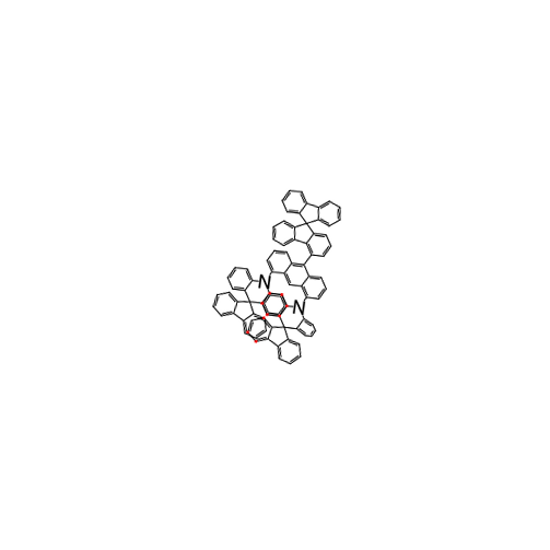 c1ccc2c(c1)-c1ccccc1C21c2ccccc2N(c2cccc3c(-c4cccc5c4-c4ccccc4C54c5ccccc5-c5ccccc54)c4cccc(N5c6ccccc6C6(c7ccccc7-c7ccccc76)c6ccccc65)c4cc23)c2ccccc21